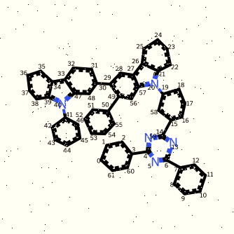 c1ccc(-c2nc(-c3ccccc3)nc(-c3cccc(-n4c5ccccc5c5cc(-c6ccc7c8ccccc8n(-c8ccccc8)c7c6)c(-c6ccccc6)cc54)c3)n2)cc1